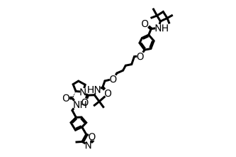 Cc1ncoc1-c1ccc(CNC(=O)[C@@H]2CCCN2C(=O)[C@@H](NC(=O)COCCCCCOc2ccc(C(=O)NC3C(C)(C)CC3(C)C)cc2)C(C)(C)C)cc1